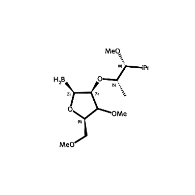 B[C@@H]1O[C@H](COC)C(OC)[C@@H]1O[C@@H](C)[C@H](OC)C(C)C